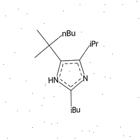 CCCCC(C)(C)c1[nH]c(C(C)CC)nc1C(C)C